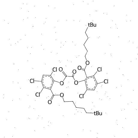 CC(C)(C)CCCCCOC(=O)c1c(Cl)c(Cl)cc(Cl)c1OC(=O)C(=O)Oc1c(Cl)cc(Cl)c(Cl)c1C(=O)OCCCCCC(C)(C)C